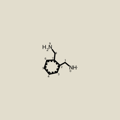 [NH]Cc1ccccc1CN